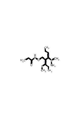 CC/C=C(\C(CONC(=O)CC)=C(/CC)SC)N(C)N